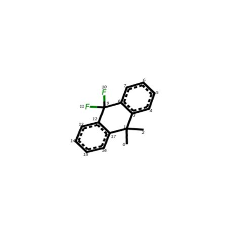 CC1(C)c2ccccc2C(F)(F)c2ccccc21